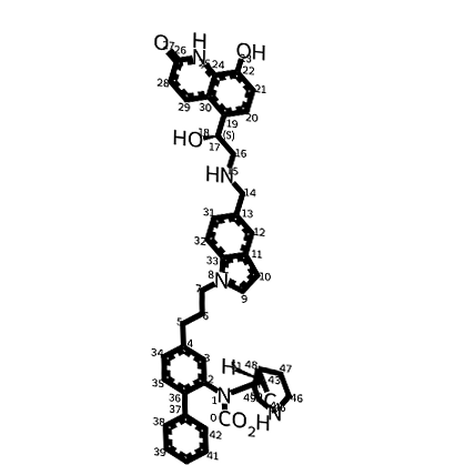 O=C(O)N(c1cc(CCCn2ccc3cc(CNC[C@@H](O)c4ccc(O)c5[nH]c(=O)ccc45)ccc32)ccc1-c1ccccc1)[C@H]1CN2CCC1CC2